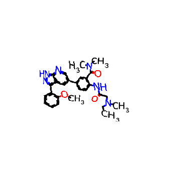 CCN(C)CC(=O)Nc1ccc(-c2cnc3[nH]nc(-c4ccccc4OC)c3c2)cc1C(=O)N(C)C